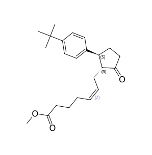 COC(=O)CCC/C=C\C[C@H]1C(=O)CC[C@@H]1c1ccc(C(C)(C)C)cc1